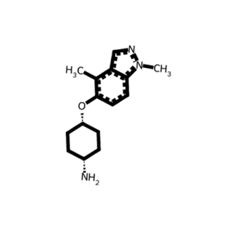 Cc1c(O[C@H]2CC[C@@H](N)CC2)ccc2c1cnn2C